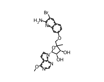 COc1ncnc2c1ccn2[C@@H]1OC(C)(COc2ccc3cc(Br)c(N)nc3c2)[C@@H](O)[C@H]1O